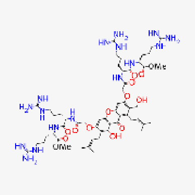 COC(=O)[C@H](CCCNC(=N)N)NC(=O)[C@H](CCCNC(=N)N)NC(=O)COc1cc2oc3cc(OCC(=O)N[C@@H](CCCNC(=N)N)C(=O)N[C@@H](CCCNC(=N)N)C(=O)OC)c(CO)c(CC=C(C)C)c3c(=O)c2c(O)c1CC=C(C)C